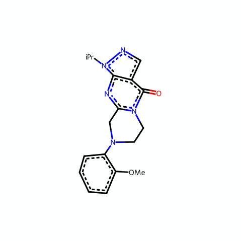 COc1ccccc1N1CCn2c(nc3c(cnn3C(C)C)c2=O)C1